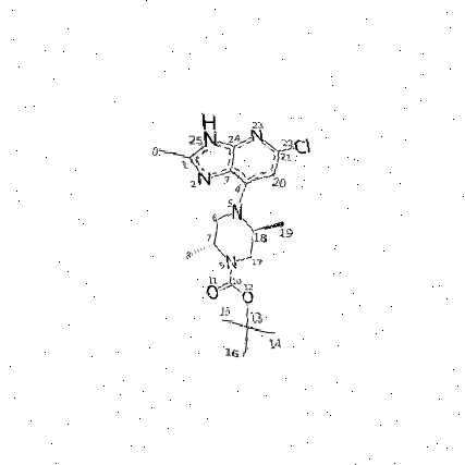 Cc1nc2c(N3C[C@@H](C)N(C(=O)OC(C)(C)C)C[C@@H]3C)cc(Cl)nc2[nH]1